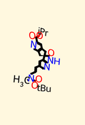 CC(C)OC(=O)c1cc2c(cn1)C[C@@]1(C2)C(=O)Nc2ncc(/C=C/CN(C)C(=O)OC(C)(C)C)cc21